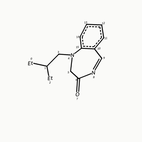 CCC(CC)CN1CC(=O)N=Cc2ccccc21